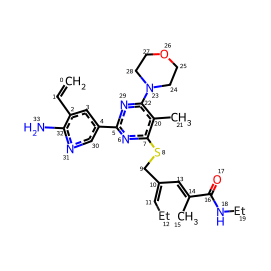 C=Cc1cc(-c2nc(SCC(=C/CC)/C=C(\C)C(=O)NCC)c(C)c(N3CCOCC3)n2)cnc1N